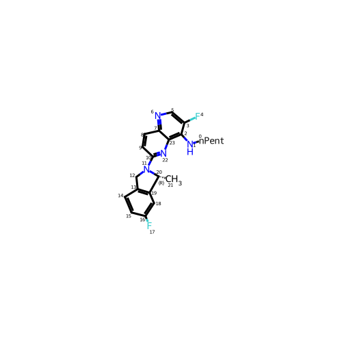 CCCCCNc1c(F)cnc2ccc(N3Cc4ccc(F)cc4[C@H]3C)nc12